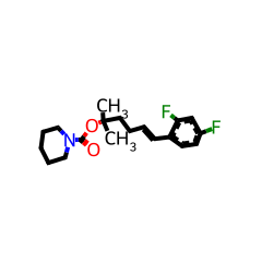 CC(C)(CCC=Cc1ccc(F)cc1F)OC(=O)N1CCCCC1